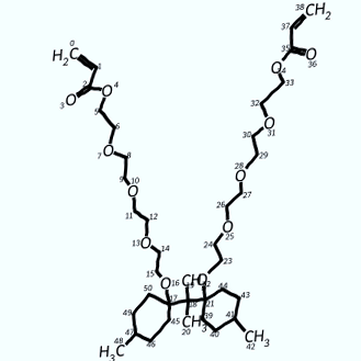 C=CC(=O)OCCOCCOCCOCCOC1(C(C)(C)C2(OCCOCCOCCOCCOC(=O)C=C)CCC(C)CC2)CCC(C)CC1